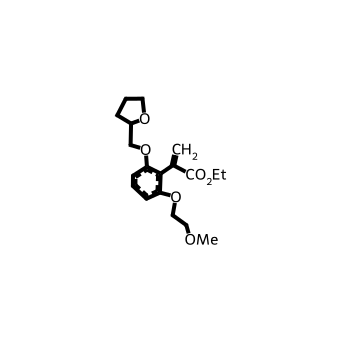 C=C(C(=O)OCC)c1c(OCCOC)cccc1OCC1CCCO1